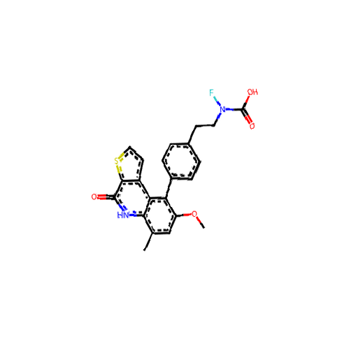 COc1cc(C)c2[nH]c(=O)c3sccc3c2c1-c1ccc(CCN(F)C(=O)O)cc1